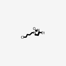 CCc1ccn(CCCCCl)c(=O)n1